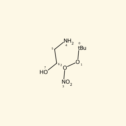 CC(C)(C)OO[N+](=O)[O-].NCCO